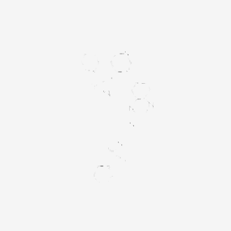 COc1ccccc1S(=O)(=O)N1CCN(c2cnc3ccc(-c4cncc(-c5ccccc5S(N)(=O)=O)c4)cc3n2)CC1